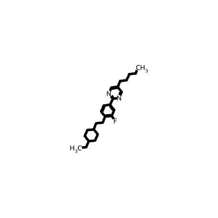 CCCCCc1cnc(-c2ccc(CCC3CCC(CC)CC3)c(F)c2)nc1